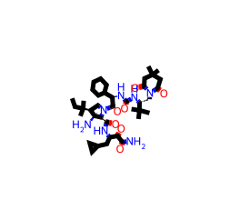 CCC(C)(C)[C@H]1CN(C(=O)[C@@H](NC(=O)N[C@H](CN2C(=O)CC(C)(C)CC2=O)C(C)(C)C)C2CCCCC2)[C@H](C(=O)NC(CC2CC2)C(=O)C(N)=O)[C@H]1N